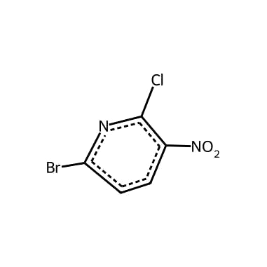 O=[N+]([O-])c1ccc(Br)nc1Cl